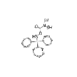 O=C(ONC(c1ccccc1)(c1ccccc1)c1ccccc1)N(S)S